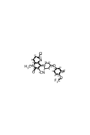 Cn1c(=O)c(C#N)c(N2CCC(Oc3ccc(OC(F)(F)F)c(F)c3)CC2)c2nc(Cl)ccc21